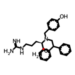 N=C(N)NCCC[C@H](C(N)=O)N(Cc1ccc(O)cc1)CC(c1ccccc1)c1ccccc1